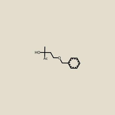 CC(=O)C(C)(O)CCOCc1ccccc1